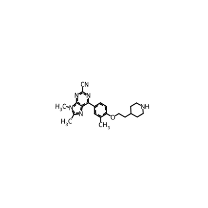 Cc1cc(-c2nc(C#N)nc3c2nc(C)n3C)ccc1OCCC1CCNCC1